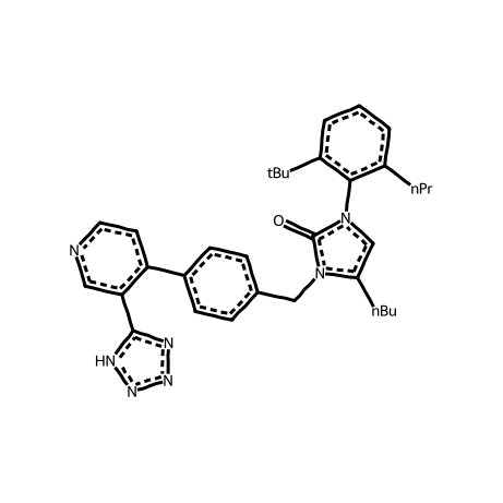 CCCCc1cn(-c2c(CCC)cccc2C(C)(C)C)c(=O)n1Cc1ccc(-c2ccncc2-c2nnn[nH]2)cc1